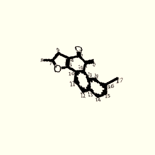 C=C1C(=O)C2=C(OC(C)C2)c2ccc3ccc(C)cc3c21